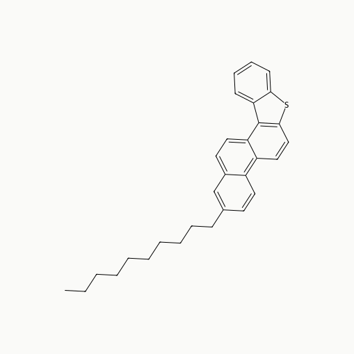 CCCCCCCCCCc1ccc2c(ccc3c2ccc2sc4ccccc4c23)c1